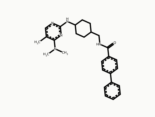 Cc1cnc(NC2CCC(CNC(=O)c3ccc(-c4ccccc4)cc3)CC2)nc1N(C)C